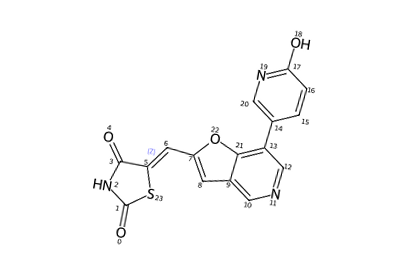 O=C1NC(=O)/C(=C/c2cc3cncc(-c4ccc(O)nc4)c3o2)S1